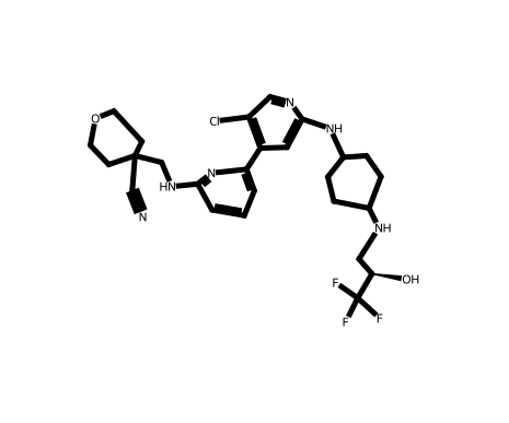 N#CC1(CNc2cccc(-c3cc(NC4CCC(NC[C@@H](O)C(F)(F)F)CC4)ncc3Cl)n2)CCOCC1